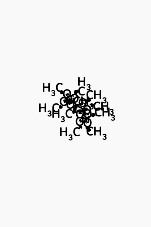 CCO[Si](OCC)(OCC)OC(C)(CC)[Si](OCC)(OCC)O[Si](OCC)(OCC)OCC